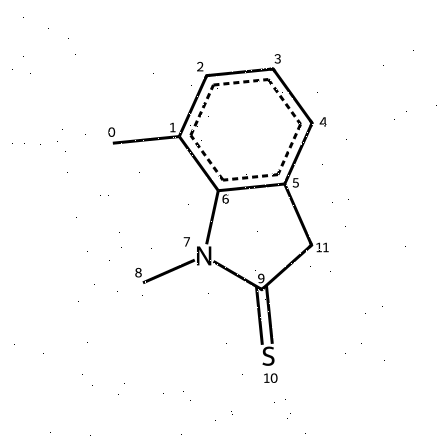 Cc1cccc2c1N(C)C(=S)C2